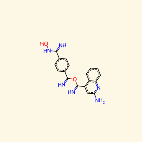 N=C(NO)c1ccc(C(=N)OC(=N)c2cc(N)nc3ccccc23)cc1